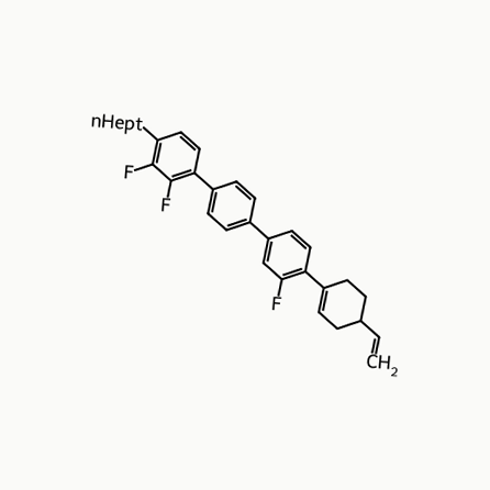 C=CC1CC=C(c2ccc(-c3ccc(-c4ccc(CCCCCCC)c(F)c4F)cc3)cc2F)CC1